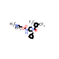 CN(C)CCCOC(=O)N[C@H]1CCN(C(=O)c2cc(C(F)(F)F)cc(C(F)(F)F)c2)[C@H](Cc2ccccc2)C1